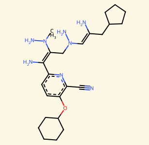 CN(N)/C(CN(N)/C=C(\N)CC1CCCC1)=C(\N)c1ccc(OC2CCCCC2)c(C#N)n1